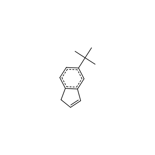 CC(C)(C)c1ccc2c(c1)C=CC2